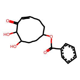 O=C(OC1CC/C=C\C(=O)C(O)C(O)CC1)c1ccccc1